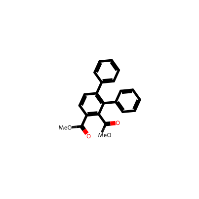 COC(=O)c1ccc(-c2ccccc2)c(-c2ccccc2)c1C(=O)OC